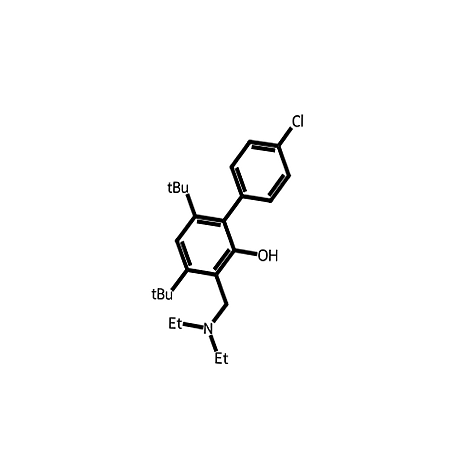 CCN(CC)Cc1c(C(C)(C)C)cc(C(C)(C)C)c(-c2ccc(Cl)cc2)c1O